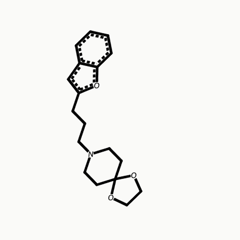 c1ccc2oc(CCCN3CCC4(CC3)OCCO4)cc2c1